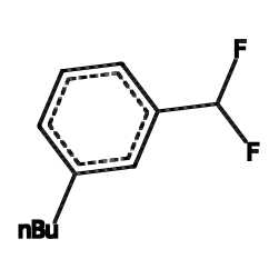 CCCCc1cccc(C(F)F)c1